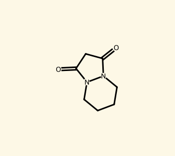 O=C1CC(=O)N2CCCCN12